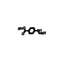 COC(=O)c1ccc(NC=N)cc1